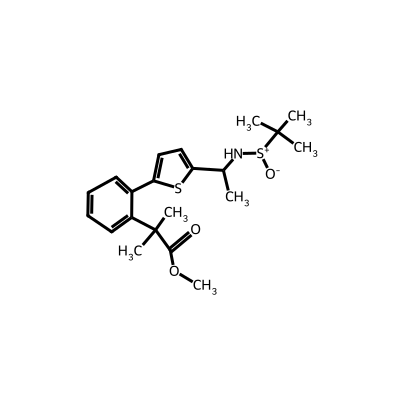 COC(=O)C(C)(C)c1ccccc1-c1ccc(C(C)N[S+]([O-])C(C)(C)C)s1